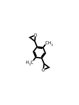 Cc1cc(C2CO2)c(C)cc1C1CO1